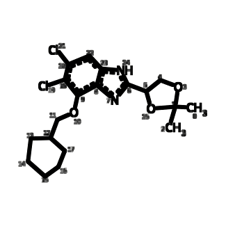 CC1(C)OCC(c2nc3c(OCC4CCCCC4)c(Cl)c(Cl)cc3[nH]2)O1